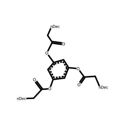 CCCCCCCCCCCC(=O)Oc1cc(OC(=O)CCCCCCCCCCC)cc(OC(=O)CCCCCCCCCCC)c1